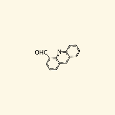 O=Cc1cccc2cc3ccccc3nc12